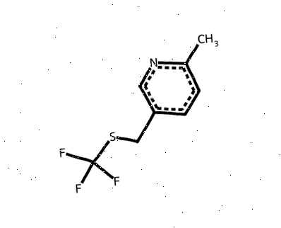 Cc1ccc(CSC(F)(F)F)cn1